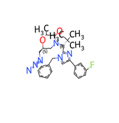 CC1O[C@H](CN=[N+]=[N-])CN([C@@H](c2nc(-c3cccc(F)c3)cn2Cc2ccccc2)C(C)(C)C)C1=O